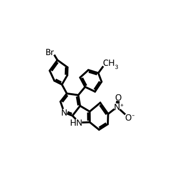 Cc1ccc(-c2c(-c3ccc(Br)cc3)cnc3[nH]c4ccc([N+](=O)[O-])cc4c23)cc1